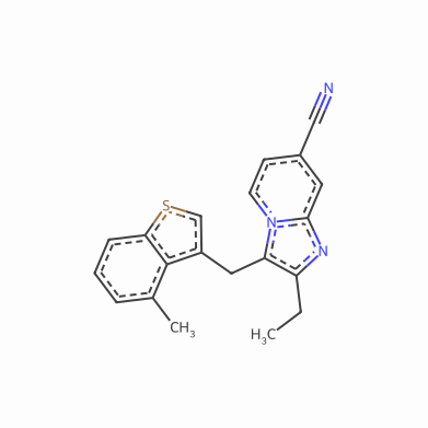 CCc1nc2cc(C#N)ccn2c1Cc1csc2cccc(C)c12